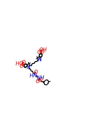 C/C1=C/CCC2C(CC1)C2COC(=O)NCCNC(=O)CCCCC[N+]1=C(/C=C/C=C/C=C2/N(C)c3ccc(S(=O)(=O)O)cc3C2(C)C)C(C)(C)c2cc(S(=O)(=O)O)ccc21